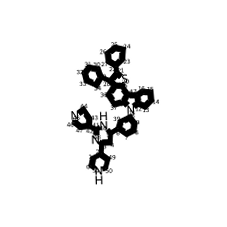 C1=CC(C2=CC(c3cccc(-n4c5ccccc5c5c6sc(-c7ccccc7)c(-c7ccccc7)c6ccc54)c3)NC(c3ccncc3)=N2)=CCN1